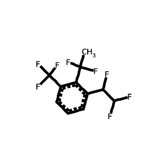 CC(F)(F)c1c(C(F)C(F)F)cccc1C(F)(F)F